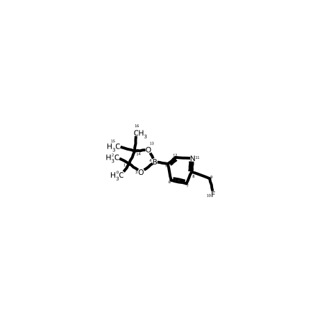 CC1(C)OB(c2ccc(CF)nc2)OC1(C)C